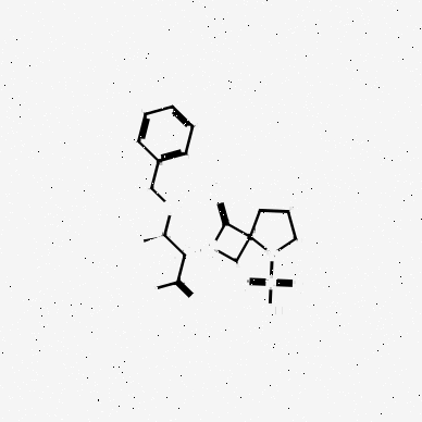 C[C@@H](OCc1ccccc1)[C@@H](C(=O)O)N1CC2(CCCN2S(C)(=O)=O)C1=O